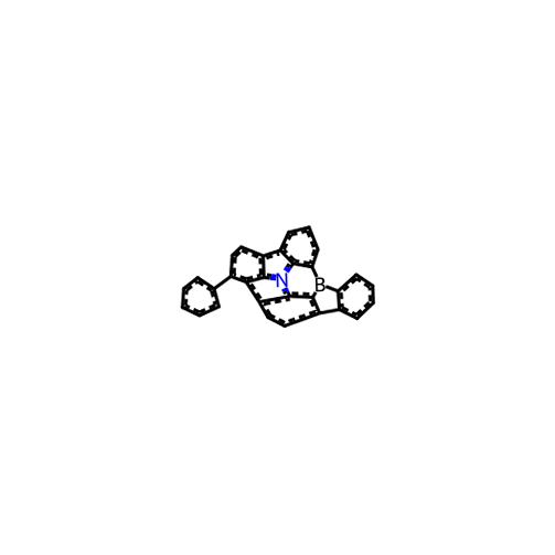 c1ccc(-c2ccc3c4cccc5c4n4c6c7c(ccc6c2c34)-c2ccccc2B57)cc1